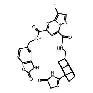 O=C1CN=C(C23C4C5C2C2C3C4C52CNC(=O)c2cc(C(=O)NCc3ccc4oc(=O)[nH]c4c3)nc3c(F)cnn23)N1